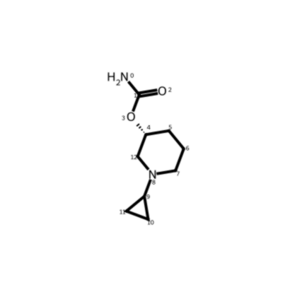 NC(=O)O[C@@H]1CCCN(C2CC2)C1